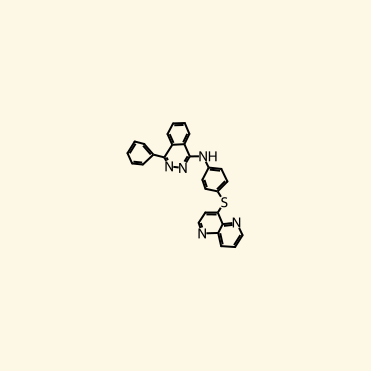 c1ccc(-c2nnc(Nc3ccc(Sc4ccnc5cccnc45)cc3)c3ccccc23)cc1